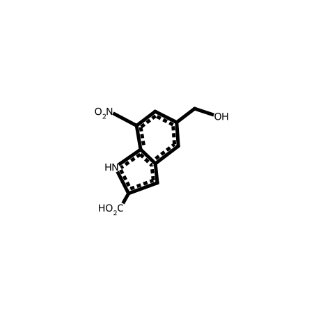 O=C(O)c1cc2cc(CO)cc([N+](=O)[O-])c2[nH]1